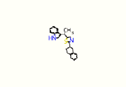 CC(c1cnc(C2CCc3ccccc3C2)s1)c1c[nH]c2ccccc12